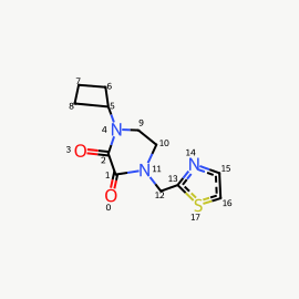 O=C1C(=O)N(C2CCC2)CCN1Cc1nccs1